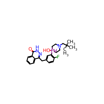 CC(C)(C)CN1CC[PH](O)(c2cc(Cc3n[nH]c(=O)c4ccccc34)ccc2F)CC1